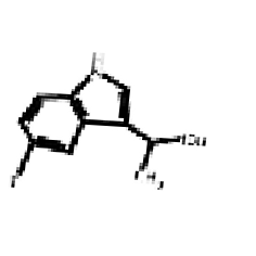 CC(c1c[nH]c2ccc(F)cc12)C(C)(C)C